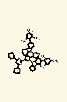 Cc1cc(C)c(-c2ccc3c(c2)c2ccccc2n3-c2cnccc2-c2ccc(-c3nc(-c4ccccc4)nc(-c4ccccc4)n3)cc2-n2c3ccccc3c3cc(-c4c(C)cc(C)cc4C)ccc32)c(C)c1